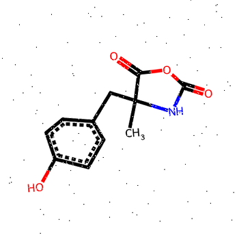 CC1(Cc2ccc(O)cc2)NC(=O)OC1=O